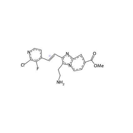 COC(=O)c1ccn2c(CCN)c(/C=C/c3ccnc(Cl)c3F)nc2c1